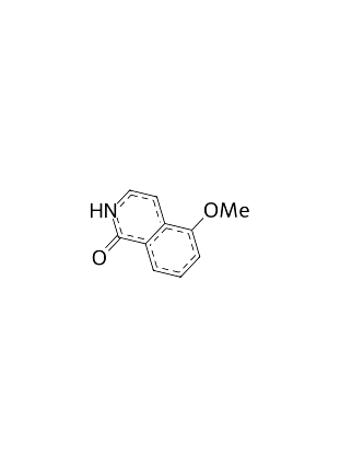 COc1cccc2c(=O)[nH]ccc12